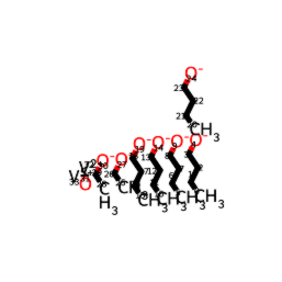 CCCC[O-].CCCC[O-].CCCC[O-].CCCC[O-].CCCC[O-].CC[O-].CC[O-].[O]=[V+2].[V+5]